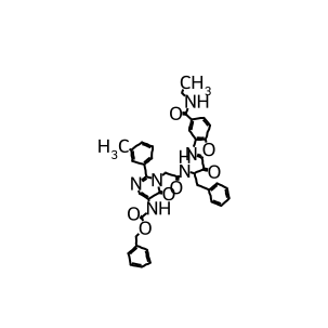 CCNC(=O)c1ccc2oc(C(=O)C(Cc3ccccc3)NC(=O)Cn3c(-c4cccc(C)c4)ncc(NC(=O)OCc4ccccc4)c3=O)nc2c1